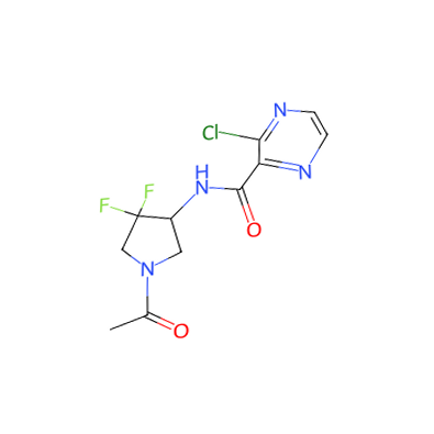 CC(=O)N1CC(NC(=O)c2nccnc2Cl)C(F)(F)C1